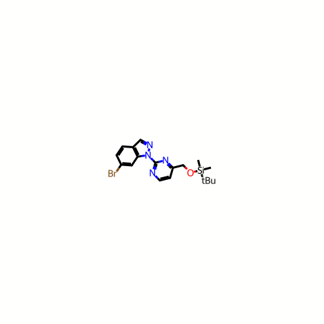 CC(C)(C)[Si](C)(C)OCc1ccnc(-n2ncc3ccc(Br)cc32)n1